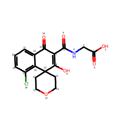 O=C(O)CNC(=O)C1=C(O)C2(CCOCC2)c2c(Cl)cccc2C1=O